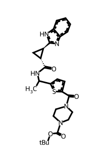 CC(NC(=O)[C@@H]1C[C@H]1c1nc2ccccc2[nH]1)c1ccc(C(=O)N2CCN(C(=O)OC(C)(C)C)CC2)s1